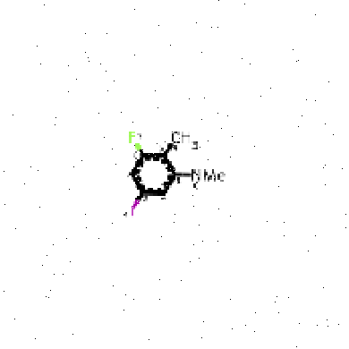 CNc1cc(I)cc(F)c1C